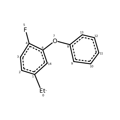 C[CH]c1ccc(F)c(Oc2ccccc2)c1